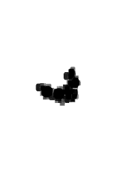 C=CC(=O)N1CCCC(n2nc(-c3ccc(Oc4ccc(Cl)cc4)cc3)c3c(N)ncnc32)C1